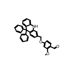 COc1cc(OCc2ccc3c(c2)Nc2ccccc2C3(c2ccccc2)c2ccccc2)ccc1C=O